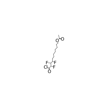 CC(=O)OCCCCCCCCC(F)C(F)C(F)C(=O)Cl